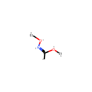 CCON=C(C)OCC